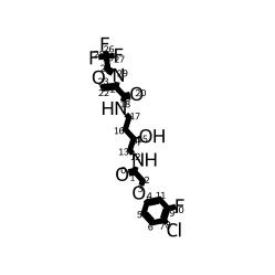 O=C(COc1ccc(Cl)c(F)c1)NC[C@@H](O)CCNC(=O)c1coc(C(F)(F)F)n1